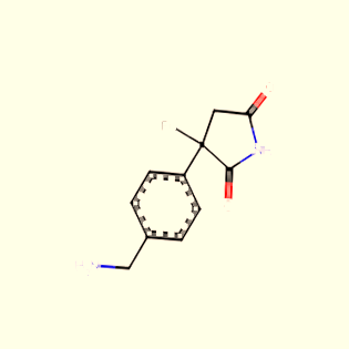 CCC1(c2ccc(CN)cc2)CC(=O)NC1=O